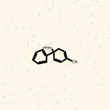 CCCCCCC1(c2ccccc2)C=CC(C#N)=CC1